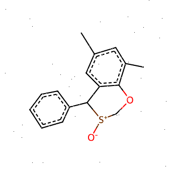 Cc1cc(C)c2c(c1)C(c1ccccc1)[S+]([O-])CO2